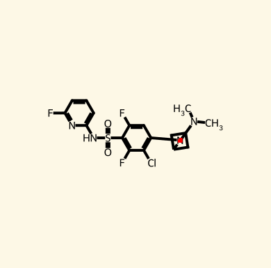 CN(C)C12CC(C1)N(c1cc(F)c(S(=O)(=O)Nc3cccc(F)n3)c(F)c1Cl)C2